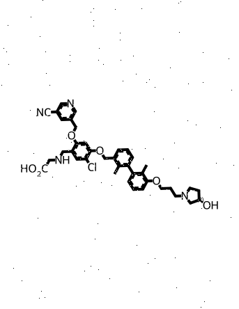 Cc1c(COc2cc(OCc3cncc(C#N)c3)c(CNCC(=O)O)cc2Cl)cccc1-c1cccc(OCCCN2CC[C@@H](O)C2)c1C